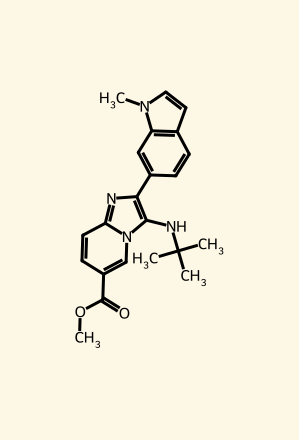 COC(=O)c1ccc2nc(-c3ccc4ccn(C)c4c3)c(NC(C)(C)C)n2c1